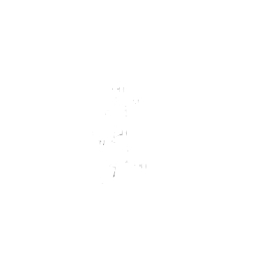 COc1cc2c(cc1O)CCN1C[C@H](CC(C)(C)C)[C@@H](O)C[C@@H]21